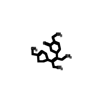 CCC1=CCC(C(CC)=C(CC)C2CC=C(CC)C(=O)C2)CC1